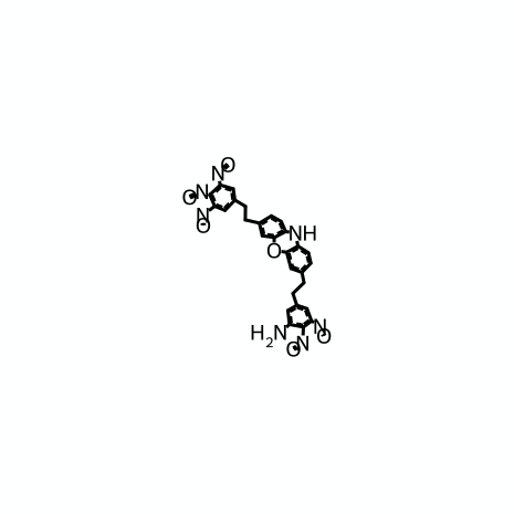 Nc1cc(CCc2ccc3c(c2)Oc2cc(CCc4cc(N=O)c(N=O)c(N=O)c4)ccc2N3)cc(N=O)c1N=O